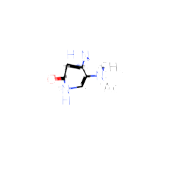 CC(=O)N(C)c1c[nH]c(=O)cc1N